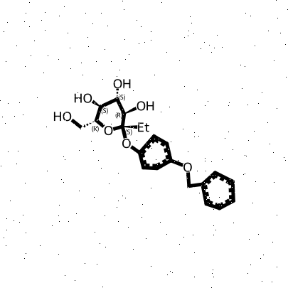 CC[C@@]1(Oc2ccc(OCc3ccccc3)cc2)O[C@H](CO)[C@@H](O)[C@H](O)[C@H]1O